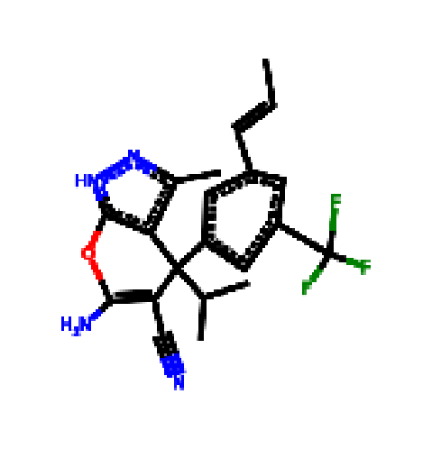 C/C=C/c1cc(C(F)(F)F)cc(C2(C(C)C)C(C#N)=C(N)Oc3[nH]nc(C)c32)c1